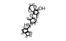 CC(C)CN(Cc1cc(O)c2c(c1)OCCCO2)C(=O)C(C)CNCc1cccc2c1OCC2